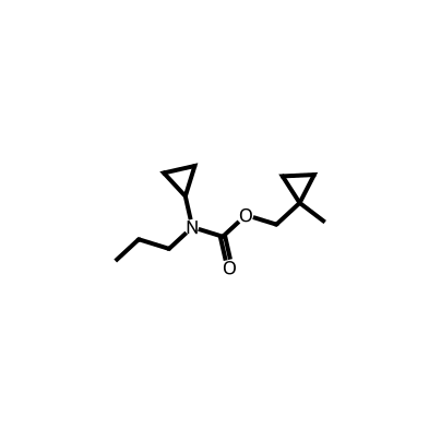 CCCN(C(=O)OCC1(C)CC1)C1CC1